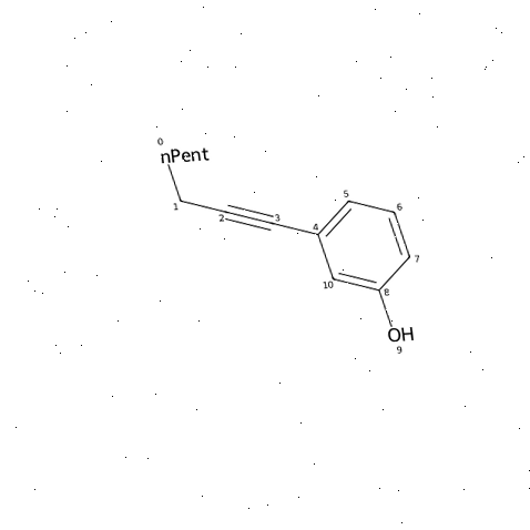 CCCCCCC#Cc1cccc(O)c1